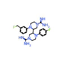 N=C(N)N1CCN(c2ccc(F)cc2)C(C2CN(C(=N)N)CCN2c2cccc(CF)c2)C1